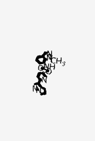 Cn1ncc2cccc(NS(=O)(=O)c3ccc(-c4cnn5c4CCC5)nc3)c21